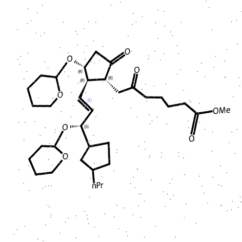 CCCC1CCC([C@@H](/C=C/[C@H]2[C@H](OC3CCCCO3)CC(=O)[C@@H]2CC(=O)CCCCC(=O)OC)OC2CCCCO2)C1